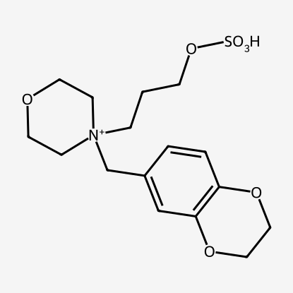 O=S(=O)(O)OCCC[N+]1(Cc2ccc3c(c2)OCCO3)CCOCC1